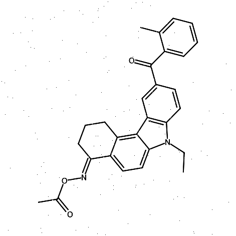 CCn1c2ccc(C(=O)c3ccccc3C)cc2c2c3c(ccc21)/C(=N/OC(C)=O)CCC3